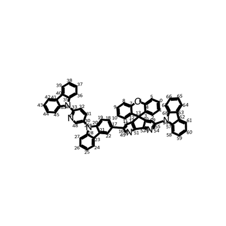 c1ccc2c(c1)Oc1ccccc1C21c2cc(-c3ccc4c(c3)c3ccccc3n4-c3ccc(-n4c5ccccc5c5ccccc54)nc3)cnc2-c2ncc(-n3c4ccccc4c4ccccc43)cc21